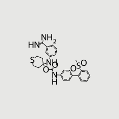 CS(=O)(=O)c1ccccc1-c1ccc(NC(=O)OC2(Nc3cccc(C(=N)N)c3)CCSCC2)cc1